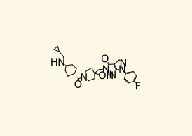 O=c1c2cnn(-c3ccc(F)cc3)c2ncn1CC1(O)CCN(C(=O)[C@H]2CC[C@@H](NCC3CC3)CC2)CC1